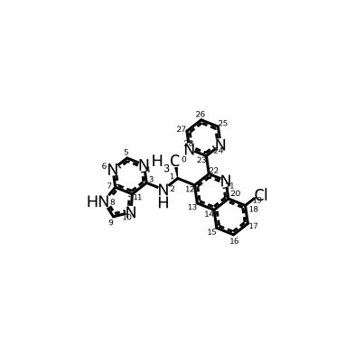 C[C@H](Nc1ncnc2[nH]cnc12)c1cc2cccc(Cl)c2nc1-c1ncccn1